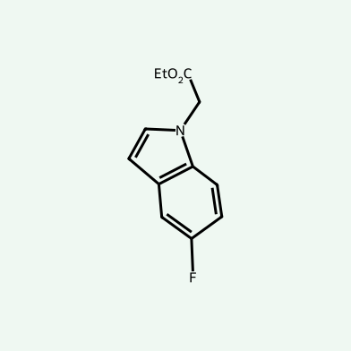 CCOC(=O)Cn1ccc2cc(F)ccc21